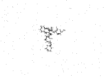 Cc1cc(F)ccc1SNc1nc2ccccc2nc1Nc1cccc(SN2CCOCC2)c1